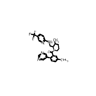 Cc1ccc(-c2cncnc2)c(C(=O)N2CCCC(C)C2CNc2ccc(C(F)(F)F)cn2)c1